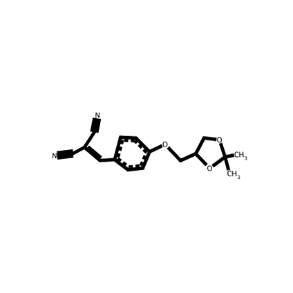 CC1(C)OCC(COc2ccc(C=C(C#N)C#N)cc2)O1